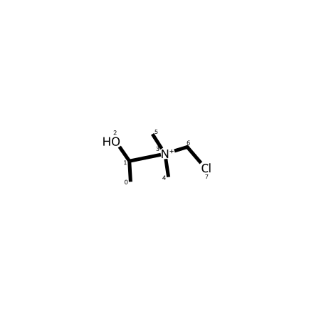 CC(O)[N+](C)(C)CCl